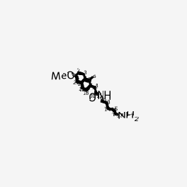 COc1ccc2c(C)c(CC(=O)NCCCCCN)ccc2c1